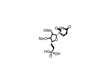 COC1C(OC)[C@@H](/C=C/P(=O)(O)O)O[C@H]1n1ccc(=O)[nH]c1=O